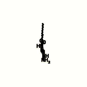 CCCCCCCCCCCCCCOC(=O)CCNCCN1CCN(CCNCCN)CC1